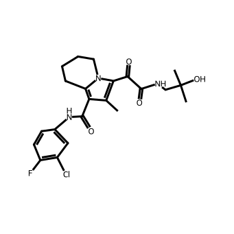 Cc1c(C(=O)Nc2ccc(F)c(Cl)c2)c2n(c1C(=O)C(=O)NCC(C)(C)O)CCCC2